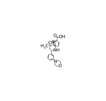 CC1(C)CC(c2cccc(N3CCOCC3)c2)Nc2ccc(C(=O)O)nc21